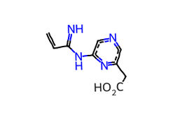 C=CC(=N)Nc1cncc(CC(=O)O)n1